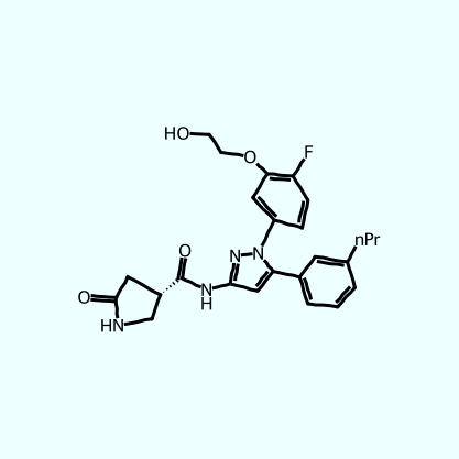 CCCc1cccc(-c2cc(NC(=O)[C@@H]3CNC(=O)C3)nn2-c2ccc(F)c(OCCO)c2)c1